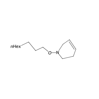 CCCCCCCCCON1CC=CCC1